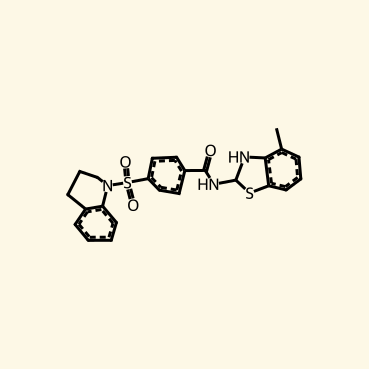 Cc1cccc2c1NC(NC(=O)c1ccc(S(=O)(=O)N3CCCc4ccccc43)cc1)S2